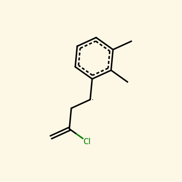 C=C(Cl)C[CH]c1cccc(C)c1C